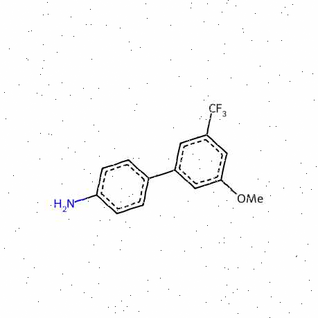 COc1cc(-c2ccc(N)cc2)cc(C(F)(F)F)c1